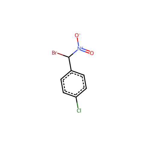 O=[N+]([O-])C(Br)c1ccc(Cl)cc1